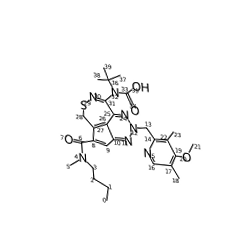 CCCCN(C)C(=O)c1cc2nn(Cc3ncc(C)c(OC)c3C)nc3c-2c1CSN=C3N(C(=O)O)C(C)(C)C